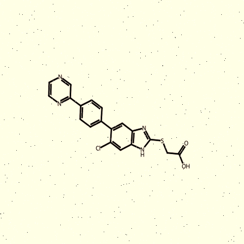 O=C(O)CSc1nc2cc(-c3ccc(-c4cnccn4)cc3)c(Cl)cc2[nH]1